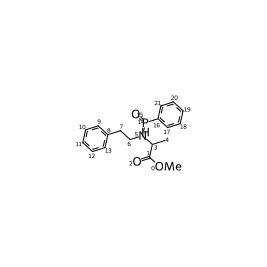 COC(=O)C(C)N(CCc1ccccc1)[PH](=O)c1ccccc1